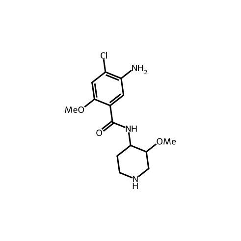 COc1cc(Cl)c(N)cc1C(=O)NC1CCNCC1OC